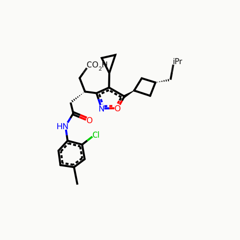 Cc1ccc(NC(=O)C[C@H](CC(=O)O)c2noc([C@H]3C[C@H](CC(C)C)C3)c2C2CC2)c(Cl)c1